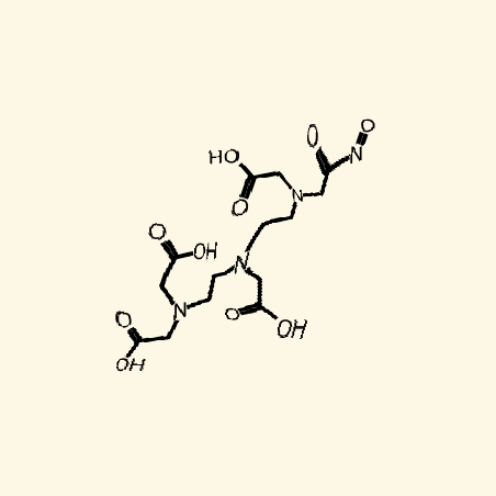 O=NC(=O)CN(CCN(CCN(CC(=O)O)CC(=O)O)CC(=O)O)CC(=O)O